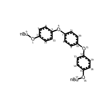 CCCCOc1ccc(Oc2ccc(Oc3ccc(OCCCC)cc3)cc2)cc1